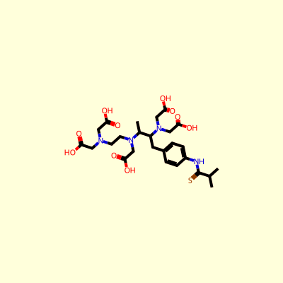 CC(C)C(=S)Nc1ccc(CC(C(C)N(CCN(CC(=O)O)CC(=O)O)CC(=O)O)N(CC(=O)O)CC(=O)O)cc1